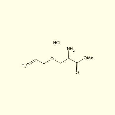 C=CCOCC(N)C(=O)OC.Cl